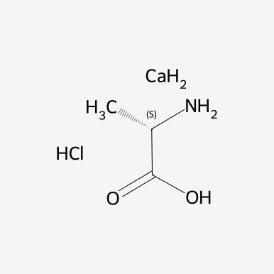 C[C@H](N)C(=O)O.Cl.[CaH2]